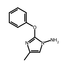 Cc1cn(N)c(Oc2ccccc2)n1